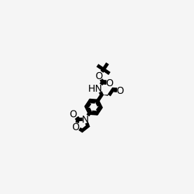 CC(C)(C)OC(=O)N[C@H](CC=O)c1ccc(N2CCOC2=O)cc1